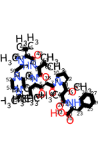 CC[C@H](C)[C@@H]([C@@H](CC(=O)N1CCC[C@H]1[C@H](OC)[C@@H](C)C(=O)N[C@@H](Cc1ccccc1)C(=O)O)OC)N(C)C(=O)[C@@H](NC(=O)[C@H](C(C)C)N(C)CCN1CCN(C(C)C)CC1)C(C)C